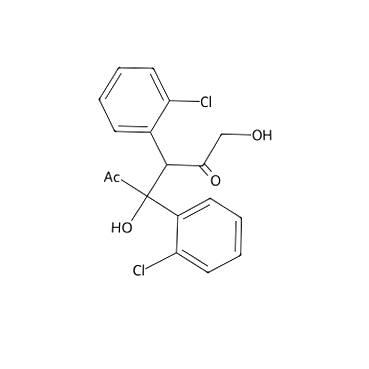 CC(=O)C(O)(c1ccccc1Cl)C(C(=O)CO)c1ccccc1Cl